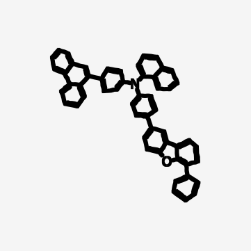 c1ccc(-c2cccc3c2oc2ccc(-c4ccc(N(c5ccc(-c6cc7ccccc7c7ccccc67)cc5)c5cccc6ccccc56)cc4)cc23)cc1